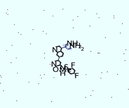 COc1ncc(-c2ccc3c(C(/C=C\N)=C/N)ccnc3c2)cc1NSc1ccc(F)cc1F